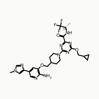 C[C@H](NC(=O)c1nc(OCC2CC2)nc(N2CCC(COc3cc(-c4cn(C)cn4)cnc3N)CC2)n1)C(F)(F)F